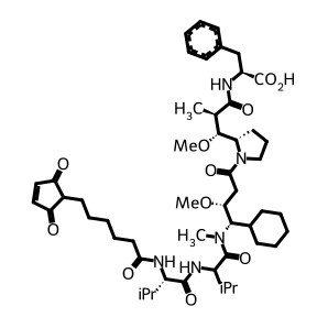 CO[C@H]([C@@H](C)C(=O)N[C@@H](Cc1ccccc1)C(=O)O)[C@@H]1CCCN1C(=O)C[C@@H](OC)[C@H](C1CCCCC1)N(C)C(=O)C(NC(=O)[C@@H](NC(=O)CCCCCC1C(=O)C=CC1=O)C(C)C)C(C)C